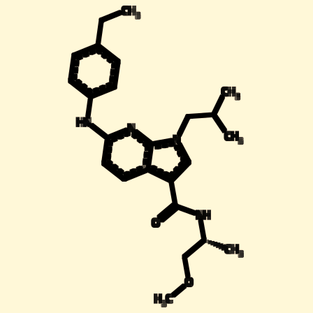 CCc1ccc(Nc2ccc3c(C(=O)N[C@H](C)COC)cn(CC(C)C)c3n2)cc1